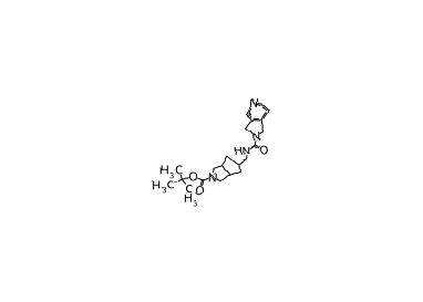 CC(C)(C)OC(=O)N1CC2CC(CNC(=O)N3Cc4ccncc4C3)CC2C1